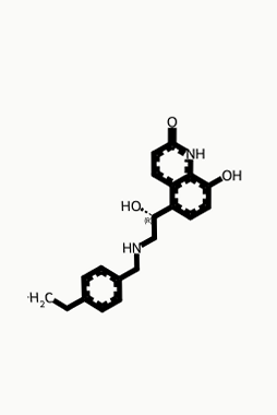 [CH2]Cc1ccc(CNC[C@H](O)c2ccc(O)c3[nH]c(=O)ccc23)cc1